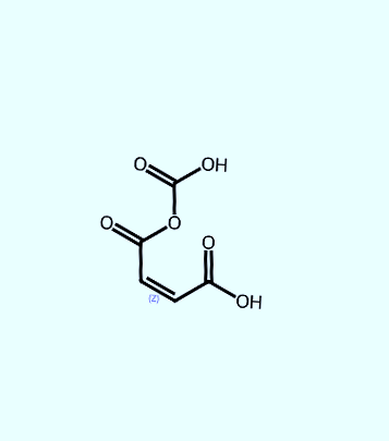 O=C(O)/C=C\C(=O)OC(=O)O